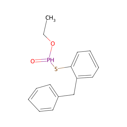 CCO[PH](=O)Sc1ccccc1Cc1ccccc1